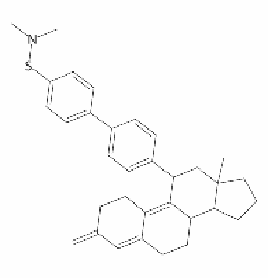 C=C1C=C2CCC3C(=C2CC1)C(c1ccc(-c2ccc(SN(C)C)cc2)cc1)CC1(C)CCCC31